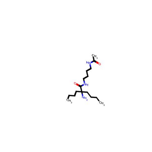 CCCCC(N)(CCCC)C(=O)NCCCCNC(C)=O